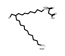 O=C(O)CC(=O)O.[Li][CH2]C(CCCCCCCCC)CCCCCCCCCCCC.[NaH]